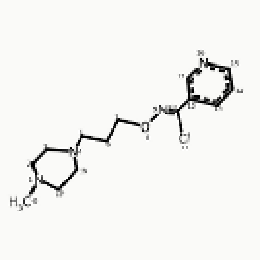 CN1CCN(CCCON=C(Cl)c2cccnc2)CC1